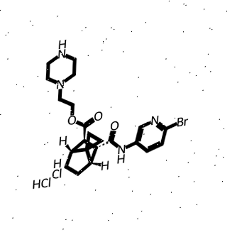 Cl.Cl.O=C(OCCN1CCNCC1)[C@H]1[C@H](C(=O)Nc2ccc(Br)nc2)[C@@H]2CC[C@H]1C21CC1